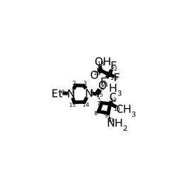 CCN1CCN(C(=O)[C@H]2C[C@@H](N)C2(C)C)CC1.O=C(O)C(F)(F)F